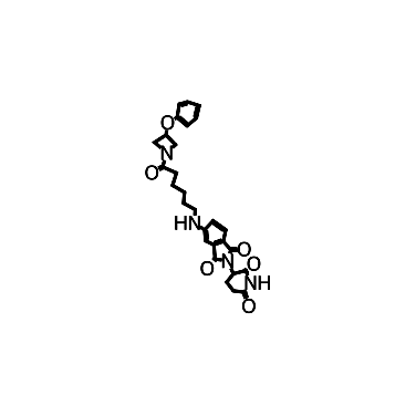 O=C1CCC(N2C(=O)c3ccc(NCCCCCC(=O)N4CC(Oc5ccccc5)C4)cc3C2=O)C(=O)N1